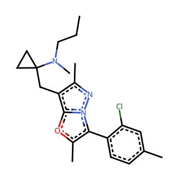 CCCN(C)C1(Cc2c(C)nn3c(-c4ccc(C)cc4Cl)c(C)oc23)CC1